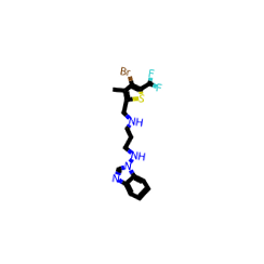 Cc1c(CNCCCNn2cnc3ccccc32)sc(C(F)F)c1Br